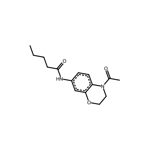 CCCCC(=O)Nc1ccc2c(c1)OCCN2C(C)=O